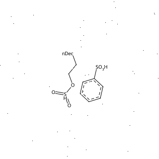 CCCCCCCCCCCCO[SH](=O)=O.O=S(=O)(O)c1ccccc1